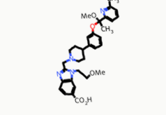 COCCn1c(CN2CCC(c3cccc(OC(C)(OC)c4cccc(C)n4)c3)CC2)nc2ccc(C(=O)O)cc21